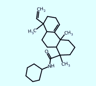 C=CC1(C)CCC=C2C1CCC1C(C)(C(=O)NC3CCCCC3)CCCC21C